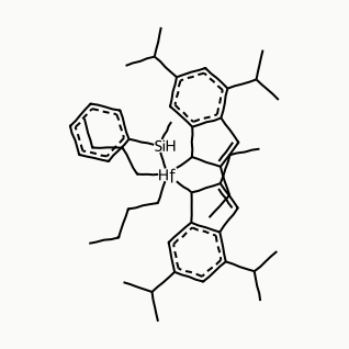 CCC[CH2][Hf]([CH2]CCC)([CH]1C(CC)=Cc2c(C(C)C)cc(C(C)C)cc21)([CH]1C(CC)=Cc2c(C(C)C)cc(C(C)C)cc21)[SiH](C)c1ccccc1